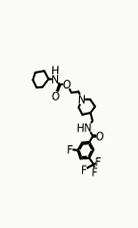 O=C(NC1CCCCC1)OCCN1CCC(CNC(=O)c2cc(F)cc(C(F)(F)F)c2)CC1